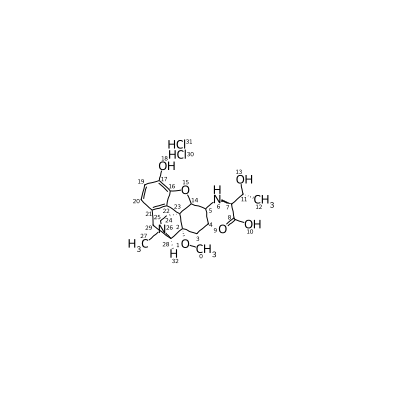 CO[C@@]12CCC(N[C@H](C(=O)O)[C@@H](C)O)C3Oc4c(O)ccc5c4[C@@]31CCN(C)[C@@H]2C5.Cl.Cl